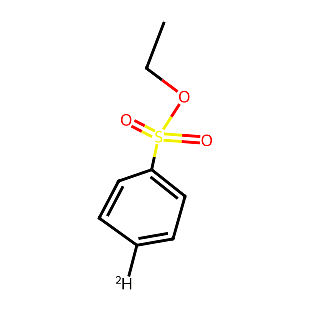 [2H]c1ccc(S(=O)(=O)OCC)cc1